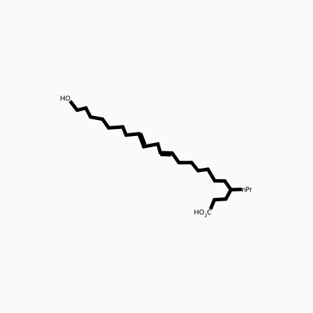 CCCC(CCCCCCC=CCC=CCCCCCCCO)CCC(=O)O